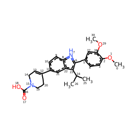 COc1ccc(-c2[nH]c3ccc(C4=CCN(C(=O)O)CC4)cc3c2C(C)C)cc1OC